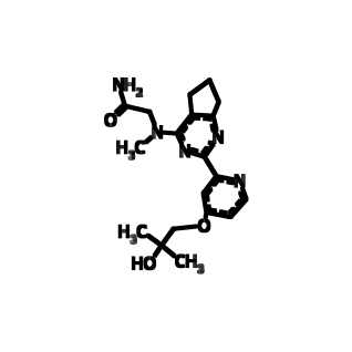 CN(CC(N)=O)c1nc(-c2cc(OCC(C)(C)O)ccn2)nc2c1CCC2